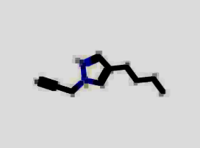 C#CCn1cc(CCCC)cn1